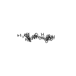 COc1cccc(F)c1-c1ncc2[nH]nc(-c3ccc(N4CCN(C(=O)CCOCCNc5ccc6c(c5)C(=O)N(C5CCC(=O)NC5=O)C6=O)CC4)cc3)c2n1